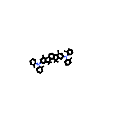 Cc1ccccc1N(c1cc(C)c2c(c1)C(C)(C)c1c-2ccc2c1C(C)(C)c1cc(N(C3=CC=CCC3C)C3C=CC=CC3C)cc(C)c1-2)c1ccccc1C